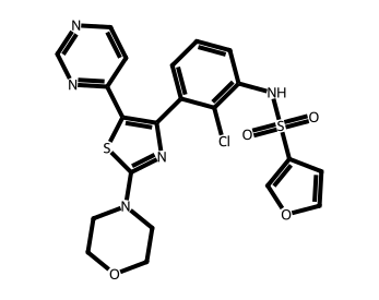 O=S(=O)(Nc1cccc(-c2nc(N3CCOCC3)sc2-c2ccncn2)c1Cl)c1ccoc1